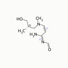 C[C@H](CO)CN(C)/C=C\C(N)=N/C=O